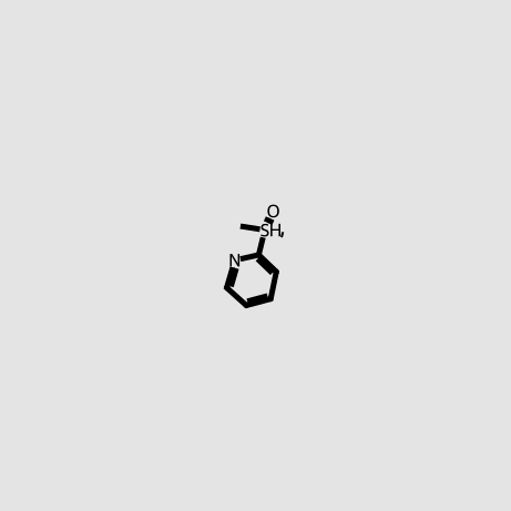 C[SH](C)(=O)c1ccccn1